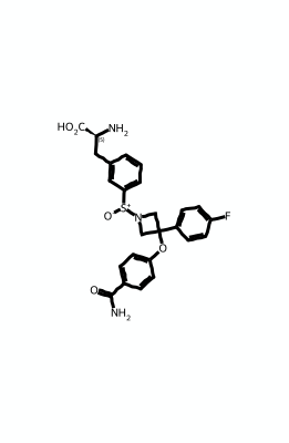 NC(=O)c1ccc(OC2(c3ccc(F)cc3)CN([S+]([O-])c3cccc(C[C@H](N)C(=O)O)c3)C2)cc1